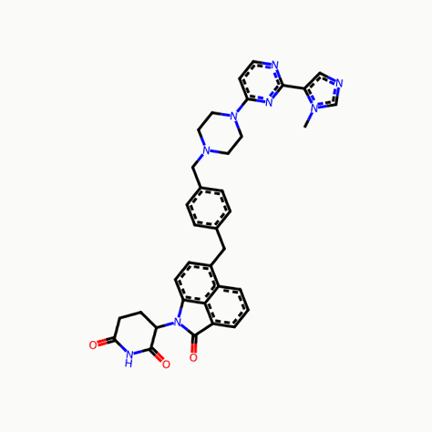 Cn1cncc1-c1nccc(N2CCN(Cc3ccc(Cc4ccc5c6c(cccc46)C(=O)N5C4CCC(=O)NC4=O)cc3)CC2)n1